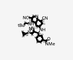 CNC(=O)c1cccc([C@H](Nc2cc(C#N)c3ncc(C#N)c(NCC(C)(C)C)c3c2)c2cn(C3CC3)nn2)c1